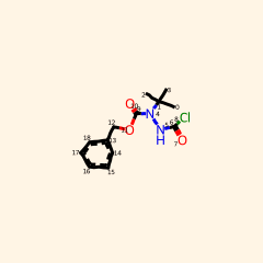 CC(C)(C)N(NC(=O)Cl)C(=O)OCc1ccccc1